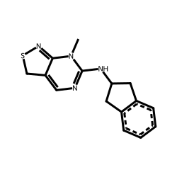 CN1C(NC2Cc3ccccc3C2)=NC=C2CSN=C21